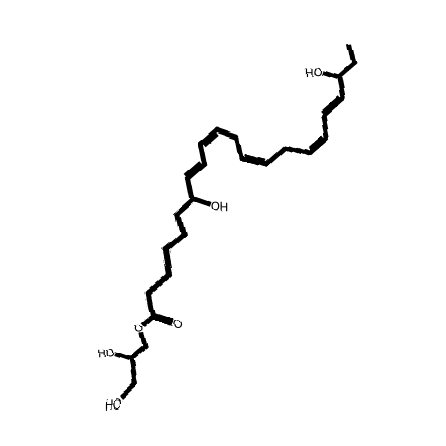 CCC(O)/C=C/C=C\C/C=C\C/C=C\C=C\C(O)CCCCCC(=O)OCC(O)CO